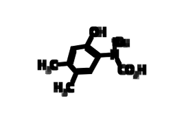 Cc1cc(O)c(N(C(=O)O)C(C)(C)C)cc1C